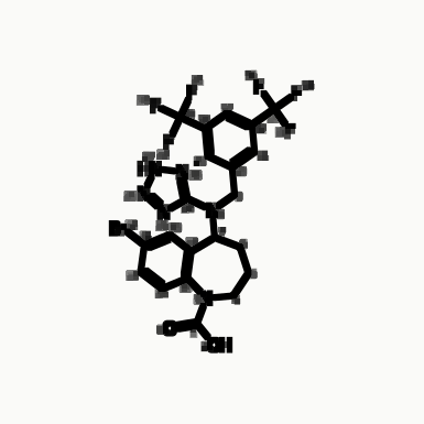 O=C(O)N1CCCC(N(Cc2cc(C(F)(F)F)cc(C(F)(F)F)c2)c2nn[nH]n2)c2cc(Br)ccc21